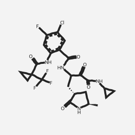 C[C@@H]1C[C@@H](CC(NC(=O)c2cc(Cl)c(F)cc2NC(=O)C2(C(F)(F)F)CC2)C(=O)C(=O)NC2CC2)C(=O)N1